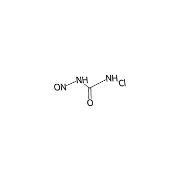 O=NNC(=O)NCl